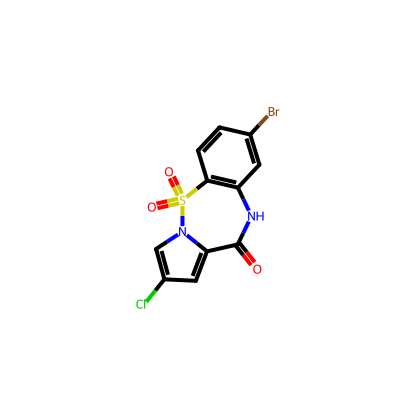 O=C1Nc2cc(Br)ccc2S(=O)(=O)n2cc(Cl)cc21